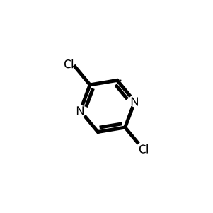 Clc1[c]nc(Cl)cn1